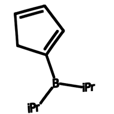 CC(C)B(C1=CC=CC1)C(C)C